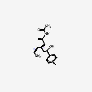 C=C(/C=C(\C=C/N)CC(O)c1ccc(C)cc1)NC(N)=O